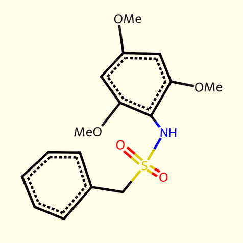 COc1cc(OC)c(NS(=O)(=O)Cc2ccccc2)c(OC)c1